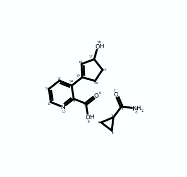 NC(=O)C1CC1.O=C(O)c1ncccc1C1=CC(O)CC1